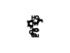 CC(O)CN1CCC[C@H]1C(=O)OC(C)(C)C